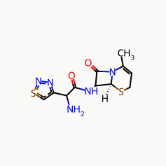 CC1=CCS[C@H]2[C@H](NC(=O)C(N)c3csnn3)C(=O)N12